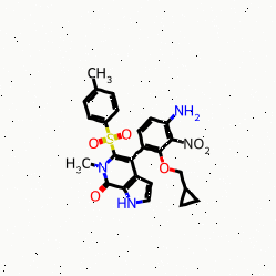 Cc1ccc(S(=O)(=O)c2c(-c3ccc(N)c([N+](=O)[O-])c3OCC3CC3)c3cc[nH]c3c(=O)n2C)cc1